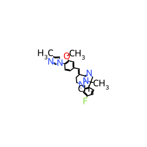 COc1cc(/C=C2\CCN(C)N3C2=NCC3(C)c2ccc(F)cc2)ccc1-n1cnc(C)c1